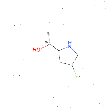 C[C@@H](O)C1CC(F)CN1